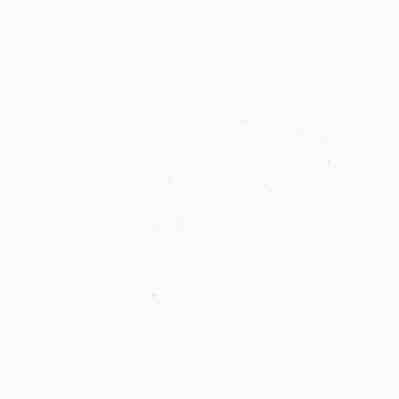 CC1(C)Cc2[nH]c(-c3ccnc(NC(=O)C(CNC(=O)O)c4ccc(F)cc4)c3)c(Nc3ccccc3)c2C(=O)N1